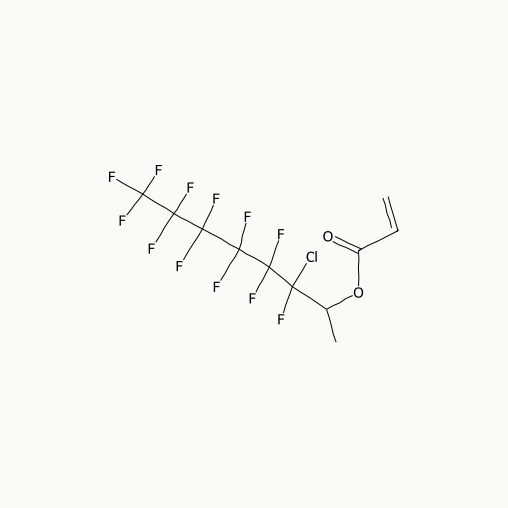 C=CC(=O)OC(C)C(F)(Cl)C(F)(F)C(F)(F)C(F)(F)C(F)(F)C(F)(F)F